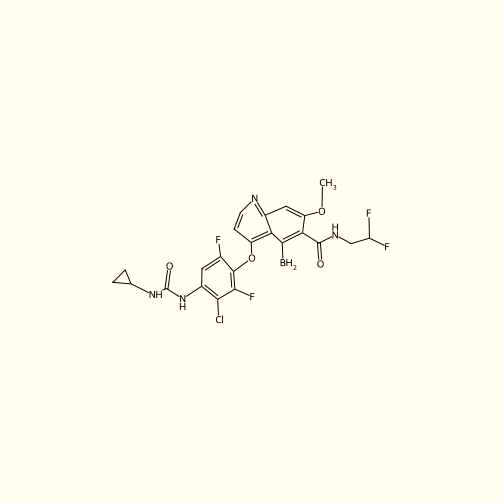 Bc1c(C(=O)NCC(F)F)c(OC)cc2nccc(Oc3c(F)cc(NC(=O)NC4CC4)c(Cl)c3F)c12